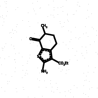 CCOC(=O)c1c(N)sc2c1CCC(C)C2=O